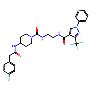 O=C(Cc1ccc(F)cc1)NC1CCN(C(=O)NCCNC(=O)c2cn(-c3ccccc3)nc2C(F)(F)F)CC1